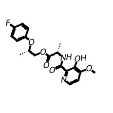 COc1ccnc(C(=O)N[C@@H](C)C(=O)OC[C@H](C)Oc2ccc(F)cc2)c1O